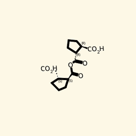 O=C(O)[C@H]1CCC[C@@H]1C(=O)OC(=O)[C@@H]1CCC[C@H]1C(=O)O